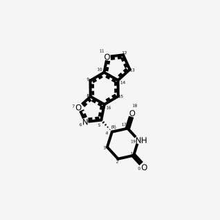 O=C1CC[C@H](c2noc3cc4occc4cc23)C(=O)N1